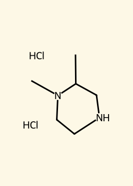 CC1CNCCN1C.Cl.Cl